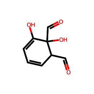 O=CC1C=CC=C(O)C1(O)C=O